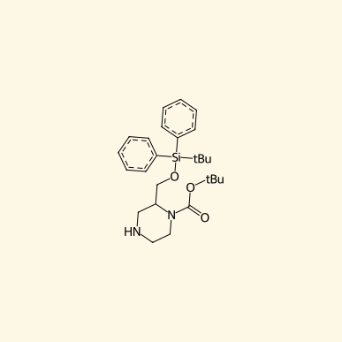 CC(C)(C)OC(=O)N1CCNCC1CO[Si](c1ccccc1)(c1ccccc1)C(C)(C)C